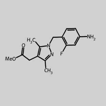 COC(=O)Cc1c(C)nn(Cc2ccc(N)cc2F)c1C